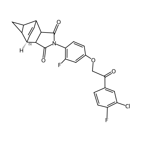 O=C(COc1ccc(N2C(=O)C3C4C=C[C@H](C5CC45)C3C2=O)c(F)c1)c1ccc(F)c(Cl)c1